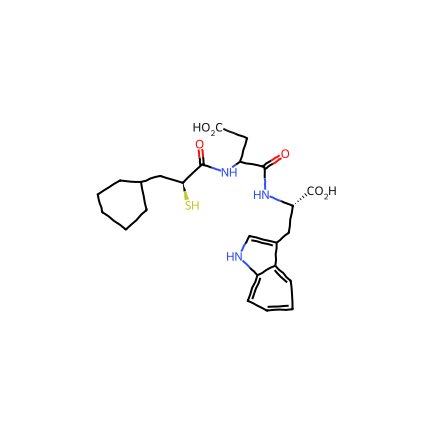 O=C(O)CC(NC(=O)[C@@H](S)CC1CCCCC1)C(=O)N[C@@H](Cc1c[nH]c2ccccc12)C(=O)O